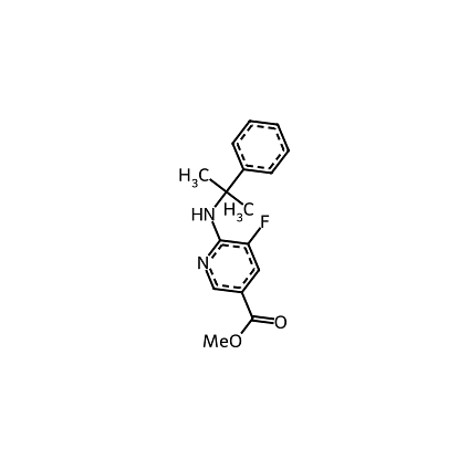 COC(=O)c1cnc(NC(C)(C)c2ccccc2)c(F)c1